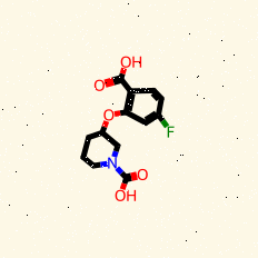 O=C(O)c1ccc(F)cc1OC1CCCN(C(=O)O)C1